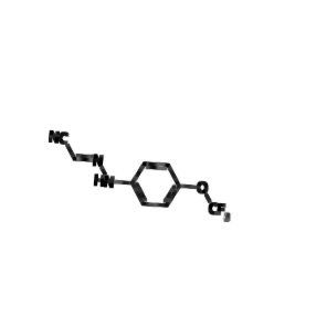 N#CC=NNc1ccc(OC(F)(F)F)cc1